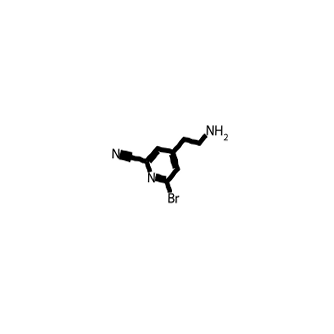 N#Cc1cc(CCN)cc(Br)n1